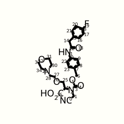 N#CCN(C(=O)OCc1ccc(NC(=O)Cc2ccc(F)cc2)cc1)C(COCCN1CCOCC1)C(=O)O